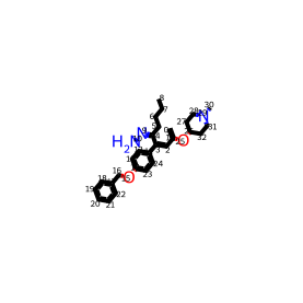 C=C(/C=C(\C(CCCC)=N/N)c1ccc(OCc2ccccc2)cc1)OC1CCN(C)CC1